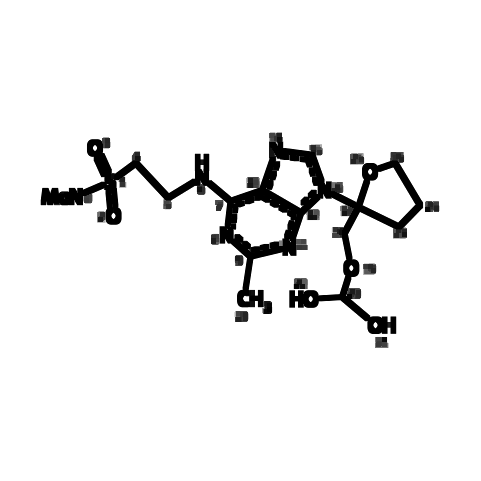 CNS(=O)(=O)CCNc1nc(C)nc2c1ncn2C1(COC(O)O)CCCO1